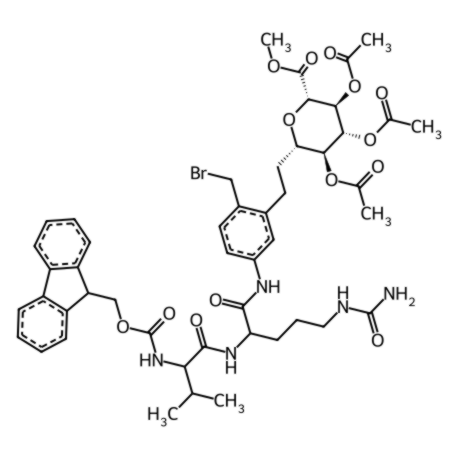 COC(=O)[C@H]1O[C@@H](CCc2cc(NC(=O)C(CCCNC(N)=O)NC(=O)C(NC(=O)OCC3c4ccccc4-c4ccccc43)C(C)C)ccc2CBr)[C@H](OC(C)=O)[C@@H](OC(C)=O)[C@@H]1OC(C)=O